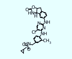 Cc1cc(CNS(=O)(=O)C2CC2)ccc1Nc1nc(Nc2ccc3c(c2)[C@@H]2NC(=O)OC2C3)ncc1Cl